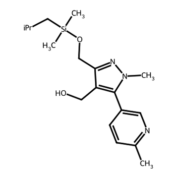 Cc1ccc(-c2c(CO)c(CO[Si](C)(C)CC(C)C)nn2C)cn1